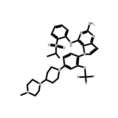 CC(C)S(=O)(=O)c1ccccc1Nc1nc(N)nc2ccn(-c3ccc(N4CCC(N5CCN(C)CC5)CC4)cc3OC(F)(F)F)c12